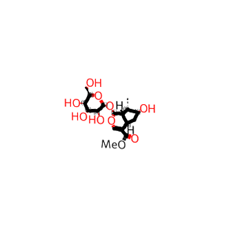 COC(=O)C1=CO[C@@H](O[C@@H]2O[C@H](CO)[C@@H](O)[C@H](O)[C@H]2O)[C@@H]2[C@H](C)[C@@H](O)C[C@H]12